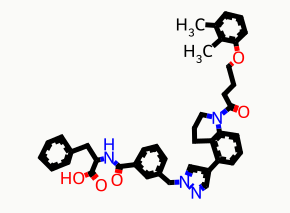 Cc1cccc(OCCCC(=O)N2CCCc3c(-c4cnn(Cc5cccc(C(=O)NC(Cc6ccccc6)C(=O)O)c5)c4)cccc32)c1C